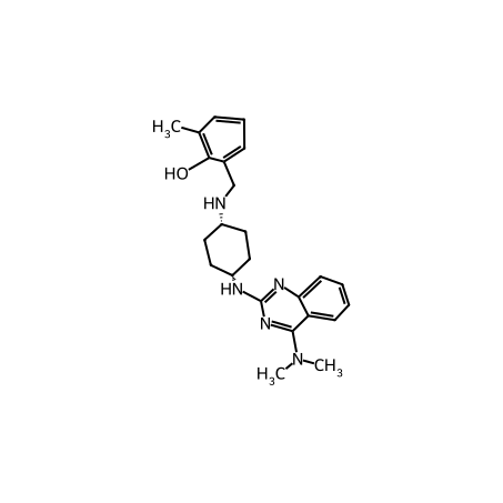 Cc1cccc(CN[C@H]2CC[C@@H](Nc3nc(N(C)C)c4ccccc4n3)CC2)c1O